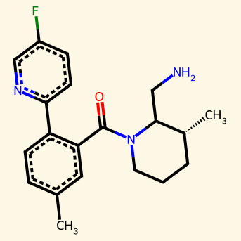 Cc1ccc(-c2ccc(F)cn2)c(C(=O)N2CCC[C@@H](C)C2CN)c1